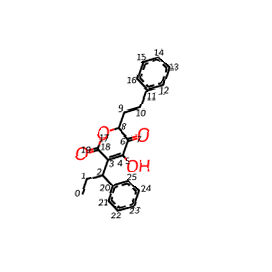 CCC(C1=C(O)C(=O)C(CCc2ccccc2)OC1=O)c1ccccc1